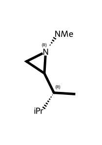 CN[N@@]1CC1[C@H](C)C(C)C